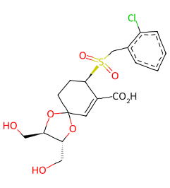 O=C(O)C1=CC2(CC[C@H]1S(=O)(=O)Cc1ccccc1Cl)O[C@H](CO)[C@@H](CO)O2